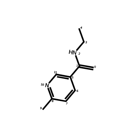 C=C(NCC)c1ccc(C)nc1